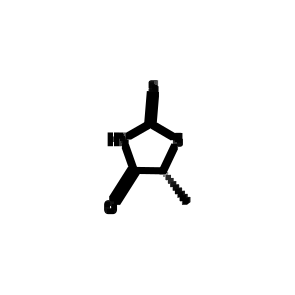 C[C@H]1SC(=S)NC1=O